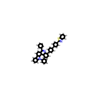 c1ccc(-c2nc3c(-c4ccc(-c5ccc(-c6nc7ccccc7s6)cc5)cc4)cccc3c3c2ccc2c4ccccc4n(-c4ccccc4)c23)cc1